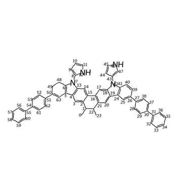 CC1c2cc3c4c(n(-c5ccc[nH]5)c3cc2-c2cc3c(cc2C1C)c1cc(-c2ccc(-c5ccccc5)cc2)ccc1n3-c1cc[nH]c1)CCC(c1ccc(-c2ccccc2)cc1)=C4